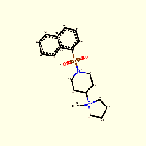 C[N+]1(C2CCN(S(=O)(=O)c3cccc4ccccc34)CC2)CCCC1